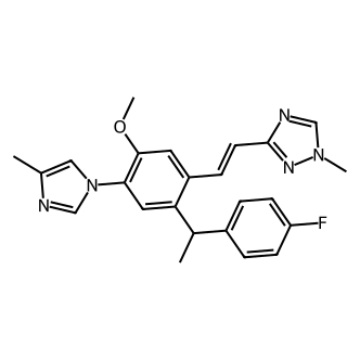 COc1cc(/C=C/c2ncn(C)n2)c(C(C)c2ccc(F)cc2)cc1-n1cnc(C)c1